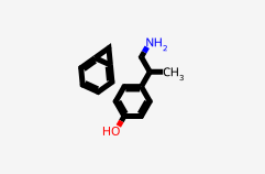 CC(CN)c1ccc(O)cc1.c1ccc2c(c1)C2